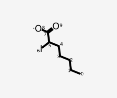 CCCCCC(I)C([O])=O